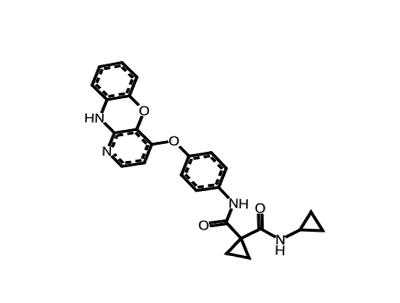 O=C(Nc1ccc(Oc2ccnc3c2Oc2ccccc2N3)cc1)C1(C(=O)NC2CC2)CC1